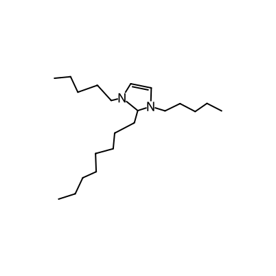 CCCCCCCCC1N(CCCCC)C=CN1CCCCC